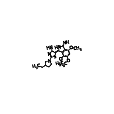 CCC1CCN(C2=NC(=N)C(=C3NC(=N)c4c(OC)cc(OC)c(OC)c43)S2)C1